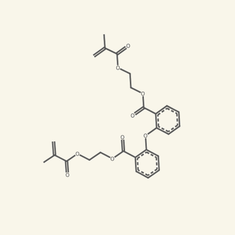 C=C(C)C(=O)OCCOC(=O)c1ccccc1Oc1ccccc1C(=O)OCCOC(=O)C(=C)C